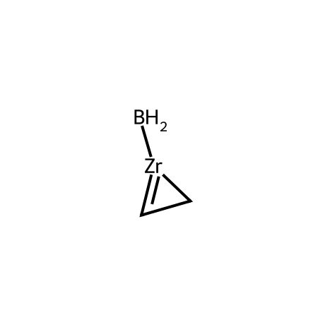 [BH2][Zr]1=[CH][CH2]1